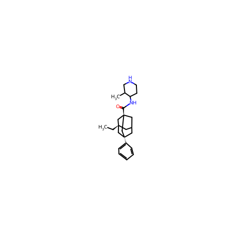 CC[C@]12CC3C[C@@](C(=O)NC4CCNCC4C)(C1)C[C@@](c1ccccc1)(C3)C2